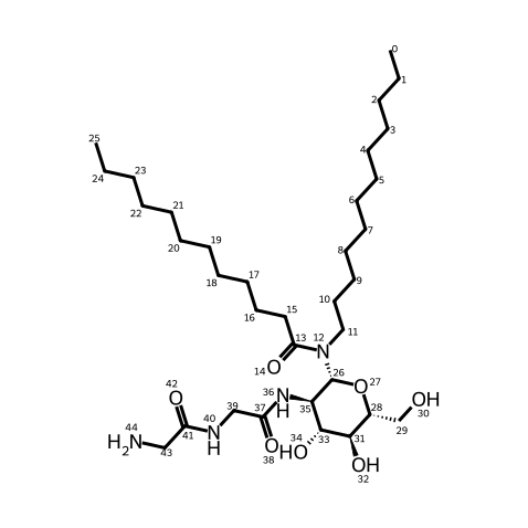 CCCCCCCCCCCCN(C(=O)CCCCCCCCCCC)[C@@H]1O[C@H](CO)[C@@H](O)[C@H](O)[C@H]1NC(=O)CNC(=O)CN